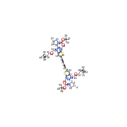 C[C@H]1C[C@@H](c2nc3sc(C#CC#Cc4cc5c(nc([C@@H]6C[C@H](C)CN6C(=O)OC(C)(C)C)n5COCC[Si](C)(C)C)s4)cc3n2COCC[Si](C)(C)C)N(C(=O)OC(C)(C)C)C1